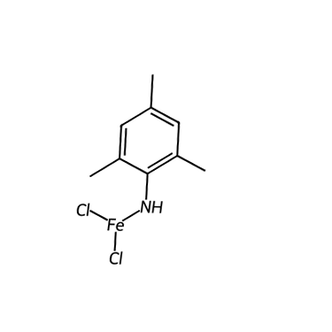 Cc1cc(C)c([NH][Fe]([Cl])[Cl])c(C)c1